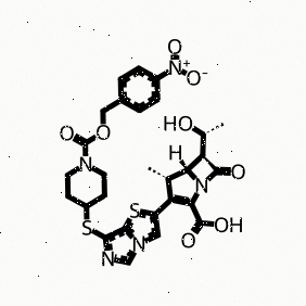 C[C@@H](O)[C@H]1C(=O)N2C(C(=O)O)=C(c3cn4cnc(SC5CCN(C(=O)OCc6ccc([N+](=O)[O-])cc6)CC5)c4s3)[C@H](C)[C@H]12